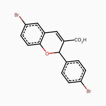 O=C(O)C1=Cc2cc(Br)ccc2OC1c1ccc(Br)cc1